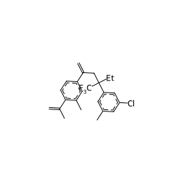 C=C(CC(CC)(c1cc(C)cc(Cl)c1)C(F)(F)F)c1ccc(C(=C)C)c(C)c1